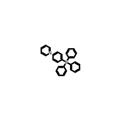 c1ccc([B-](c2ccccc2)(c2ccccc2)c2ccccc2)cc1.c1ccncc1